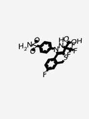 NS(=O)(=O)c1ccc(N2NC(C(=O)O)(C(F)(F)F)C3=C2c2ccc(F)cc2CS3)cc1